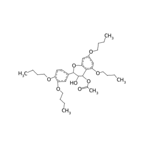 CCCCOc1cc(OCCCC)c2c(c1)OC(c1ccc(OCCCC)c(OCCCC)c1)C(O)C2OC(C)=O